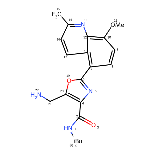 CC[C@@H](C)NC(=O)c1nc(-c2ccc(OC)c3nc(C(F)(F)F)ccc23)oc1CN